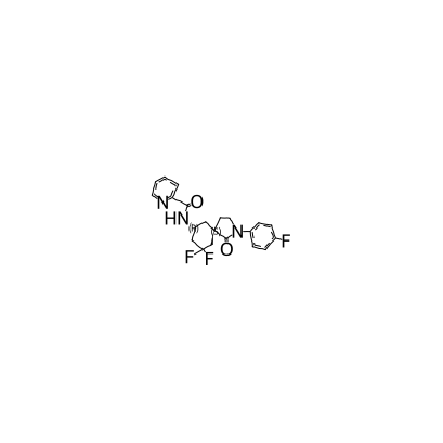 O=C(N[C@H]1CC(F)(F)C[C@]2(CCN(c3ccc(F)cc3)C2=O)C1)c1ccccn1